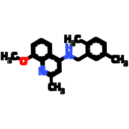 COc1cccc2c(NCc3cc(C)ccc3C)cc(C)nc12